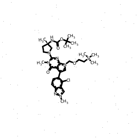 Cn1cc2c(Cl)c(-c3cn(COCC[Si](C)(C)C)c4nc(N5CC[C@](C)(NC(=O)OC(C)(C)C)C5)n(C)c(=O)c34)ccc2n1